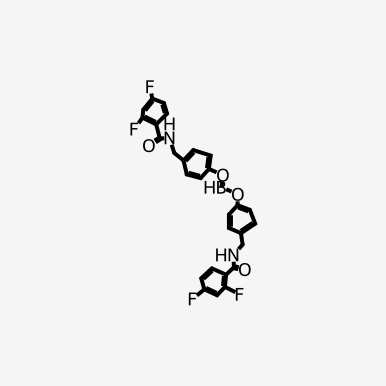 O=C(NCc1ccc(OBOc2ccc(CNC(=O)c3ccc(F)cc3F)cc2)cc1)c1ccc(F)cc1F